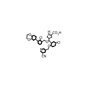 N#Cc1cncc(COc2ccc(Cl)cc2C(OCc2cccc(-c3ccc4c(c3)OCCO4)c2Cl)C2CNC(C(=O)O)C2)c1